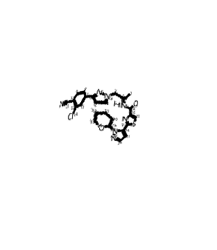 CC(Cn1ccc(-c2ccc(C#N)c(Cl)c2)n1)NC(=O)c1csc(-c2ccnn2C2CCCCO2)n1